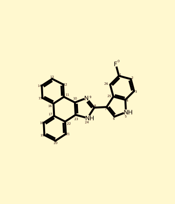 Fc1ccc2[nH]cc(-c3nc4c5ccccc5c5ccccc5c4[nH]3)c2c1